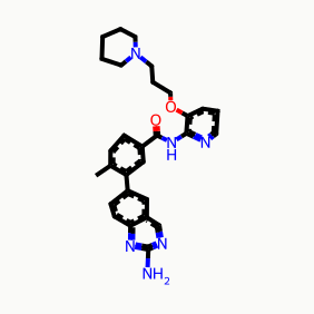 Cc1ccc(C(=O)Nc2ncccc2OCCCN2CCCCC2)cc1-c1ccc2nc(N)ncc2c1